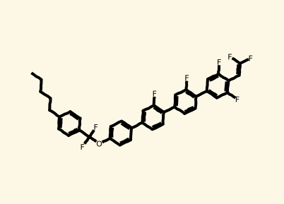 CCCCCc1ccc(C(F)(F)Oc2ccc(-c3ccc(-c4ccc(-c5cc(F)c(C=C(F)F)c(F)c5)c(F)c4)c(F)c3)cc2)cc1